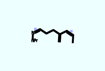 C=C(/C=C\C)CC/C=N\CCC